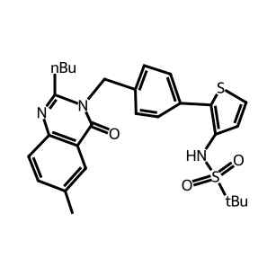 CCCCc1nc2ccc(C)cc2c(=O)n1Cc1ccc(-c2sccc2NS(=O)(=O)C(C)(C)C)cc1